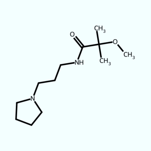 COC(C)(C)C(=O)NCCCN1CCCC1